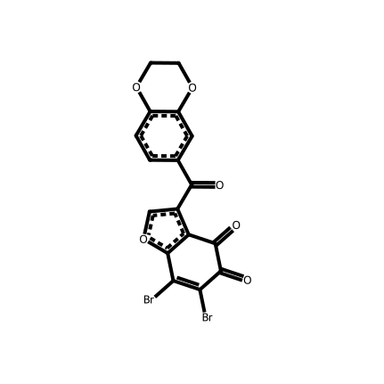 O=C1C(=O)c2c(C(=O)c3ccc4c(c3)OCCO4)coc2C(Br)=C1Br